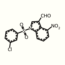 O=Cc1cn(S(=O)(=O)c2cccc(Cl)c2)c2cccc([N+](=O)[O-])c12